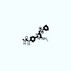 CNC(=O)Nc1ccc(-c2nc(N)cc(CS(=O)(=O)c3ccccc3)n2)cc1